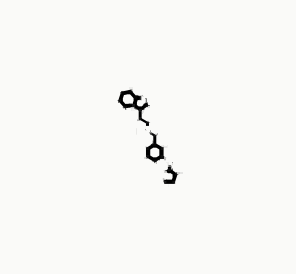 c1cc(CNCCc2c[nH]c3ccccc23)cc(Oc2cccs2)c1